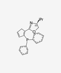 CC(C)[C@H]1COC(C2=C(P(c3ccccc3)c3ccccc3)C=CC2)=N1